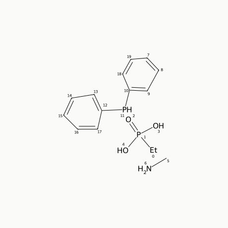 CCP(=O)(O)O.CN.c1ccc(Pc2ccccc2)cc1